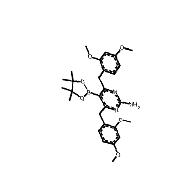 COc1ccc(Cc2nc(N)nc(Cc3ccc(OC)cc3OC)c2B2OC(C)(C)C(C)(C)O2)c(OC)c1